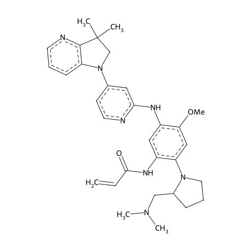 C=CC(=O)Nc1cc(Nc2cc(N3CC(C)(C)c4ncccc43)ccn2)c(OC)cc1N1CCCC1CN(C)C